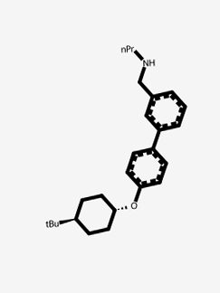 CCCNCc1cccc(-c2ccc(O[C@H]3CC[C@H](C(C)(C)C)CC3)cc2)c1